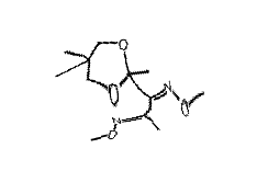 CON=C(C)C(=NOC)C1(C)OCC(C)(C)CO1